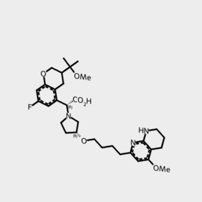 COc1cc(CCCCO[C@@H]2CCN([C@@H](C(=O)O)c3cc(F)cc4c3CC(C(C)(C)OC)CO4)C2)nc2c1CCCN2